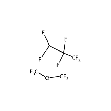 FC(F)(F)OC(F)(F)F.FC(F)C(F)(F)C(F)(F)F